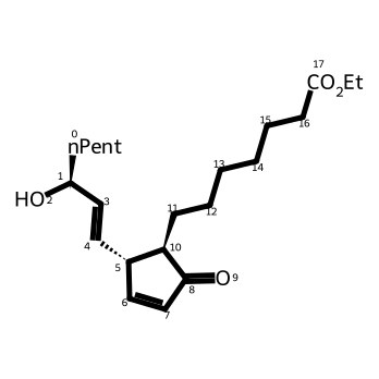 CCCCC[C@H](O)/C=C/[C@H]1C=CC(=O)[C@@H]1CCCCCCC(=O)OCC